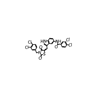 O=C(Nc1ccc2[nH]cc(C=C3SC(=O)N(Cc4ccc(Cl)c(Cl)c4)C3=O)c2c1)c1ccc(Cl)c(Cl)c1